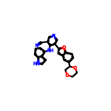 N#Cc1cncc(-c2cc3cc(C4COCCO4)ccc3o2)c1Nc1cccc2[nH]ccc12